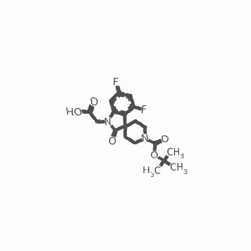 CC(C)(C)OC(=O)N1CCC2(CC1)C(=O)N(CC(=O)O)c1cc(F)cc(F)c12